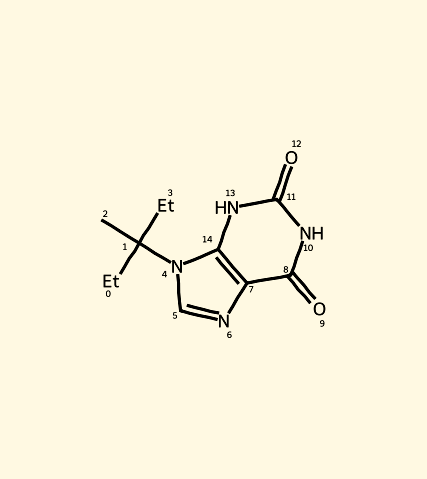 CCC(C)(CC)n1cnc2c(=O)[nH]c(=O)[nH]c21